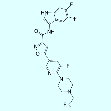 O=C(Nc1c[nH]c2cc(F)c(F)cc12)c1cc(-c2cnc(N3CCN(CC(F)(F)F)CC3)c(F)c2)on1